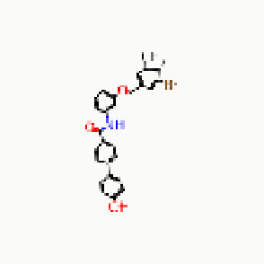 Cc1cc(Br)cc(COc2cccc(NC(=O)c3ccc(-c4ccc(O)cc4)cc3)c2)c1